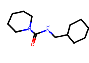 O=C(NCC1CCCCC1)N1CCCCC1